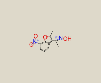 C/C(=N\O)c1c(C)oc2c([N+](=O)[O-])cccc12